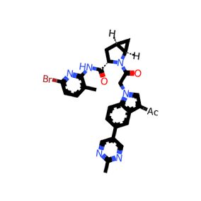 CC(=O)c1cn(CC(=O)N2[C@@H]3C[C@@H]3C[C@H]2C(=O)Nc2nc(Br)ccc2C)c2ccc(-c3cnc(C)nc3)cc12